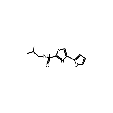 CC(C)CNC(=O)c1nc(-c2ccco2)cs1